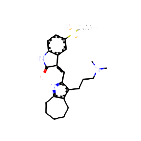 CNS(=O)(=O)c1ccc2c(c1)/C(=C/c1[nH]c3c(c1CCCN(C)C)CCCCC3)C(=O)N2